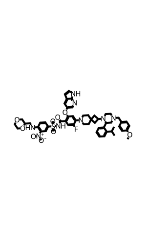 COc1ccc(CN2CCN(C3CC4(CCN(c5cc(Oc6cnc7[nH]ccc7c6)c(C(=O)NS(=O)(=O)c6ccc(NCC7COCCO7)c([N+](=O)[O-])c6)cc5F)CC4)C3)C(c3ccccc3C(C)C)C2)cc1